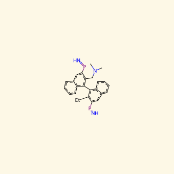 CCc1c(P=N)cc2ccccc2c1-c1c(CN(C)C)c(P=N)cc2ccccc12